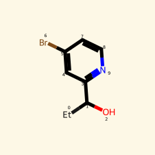 CCC(O)c1cc(Br)ccn1